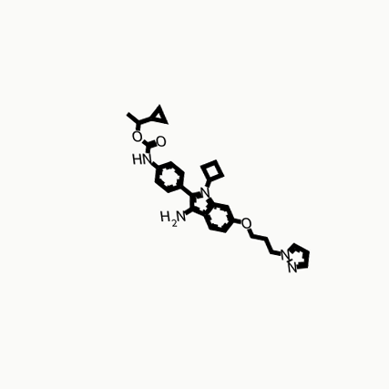 CC(OC(=O)Nc1ccc(-c2c(N)c3ccc(OCCCn4cccn4)cc3n2C2CCC2)cc1)C1CC1